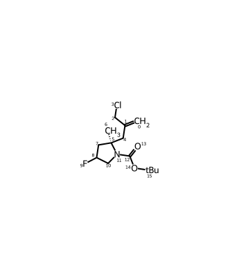 C=C(CCl)C[C@]1(C)CC(F)CN1C(=O)OC(C)(C)C